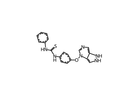 S=C(Nc1ccccc1)Nc1ccc(ON2C=NC=C3NNC=C32)cc1